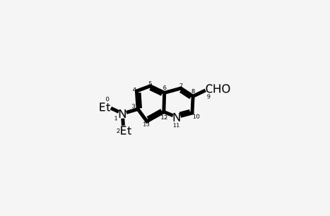 CCN(CC)c1ccc2cc(C=O)cnc2c1